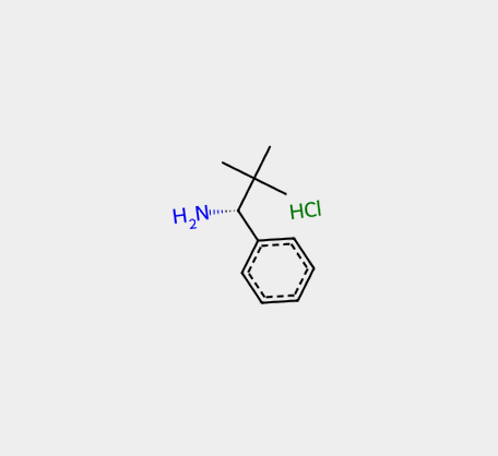 CC(C)(C)[C@@H](N)c1ccccc1.Cl